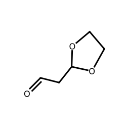 O=CCC1OCCO1